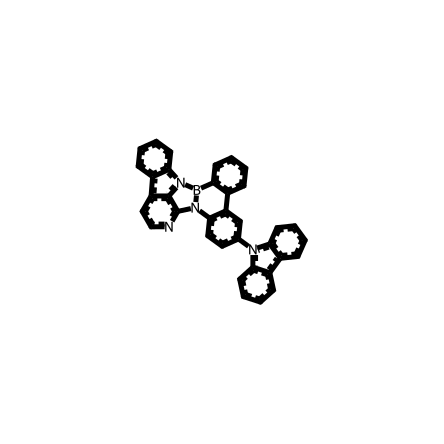 c1ccc2c(c1)B1N(c3ccc(-n4c5ccccc5c5ccccc54)cc3-2)c2nccc3c4ccccc4n1c23